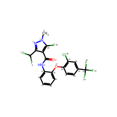 Cn1nc(C(F)F)c(C(=O)Nc2ccccc2Oc2ccc(C(F)(F)F)cc2Cl)c1F